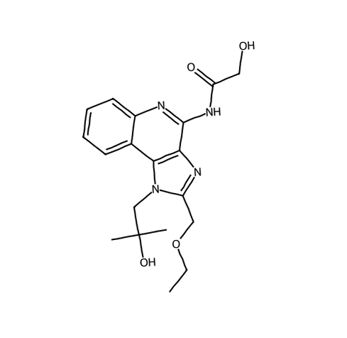 CCOCc1nc2c(NC(=O)CO)nc3ccccc3c2n1CC(C)(C)O